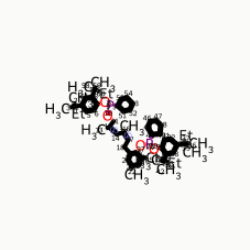 CCC(C)(C)c1ccc(OP(OC/C(C)=C\C(C)=C/Cc2cc(C)cc(C)c2OP(Oc2ccc(C(C)(C)CC)cc2C(C)(C)CC)c2ccccc2)c2ccccc2)c(C(C)(C)CC)c1